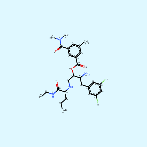 CCCN(CCC)C(=O)c1cc(C)cc(C(=O)OC(CN[C@@H](CCSC)C(=O)NCC(C)C)C(N)Cc2cc(F)cc(F)c2)c1